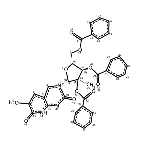 Cc1cc2cn([C@@H]3O[C@H](COC(=O)c4ccccc4)[C@@H](OC(=O)c4ccccc4)[C@@]3(C)OC(=O)c3ccccc3)c(=O)nc2[nH]c1=O